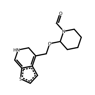 O=[C]N1CCCCC1OCC1=c2ccsc2=CNC1